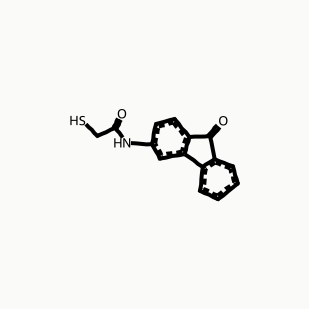 O=C(CS)Nc1ccc2c(c1)-c1ccccc1C2=O